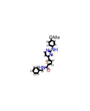 COc1ccc(Nc2nccc(-c3ccc(C(=O)NCc4ccccc4)s3)n2)cc1